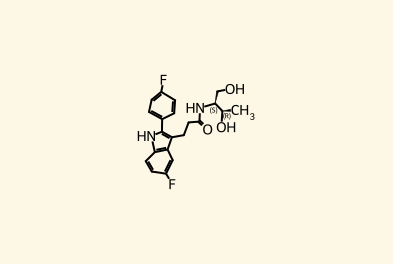 C[C@@H](O)[C@H](CO)NC(=O)CCc1c(-c2ccc(F)cc2)[nH]c2ccc(F)cc12